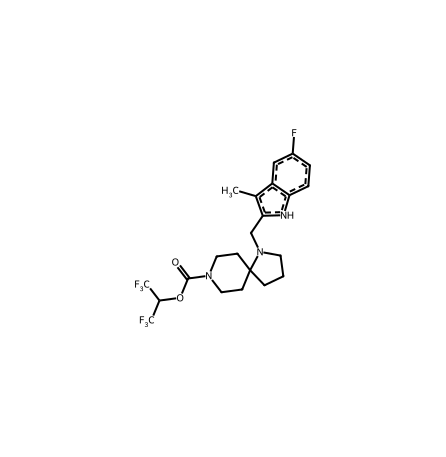 Cc1c(CN2CCCC23CCN(C(=O)OC(C(F)(F)F)C(F)(F)F)CC3)[nH]c2ccc(F)cc12